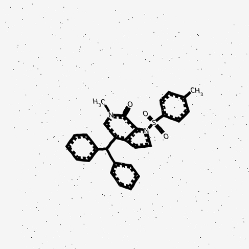 Cc1ccc(S(=O)(=O)n2ccc3c(C(c4ccccc4)c4ccccc4)cn(C)c(=O)c32)cc1